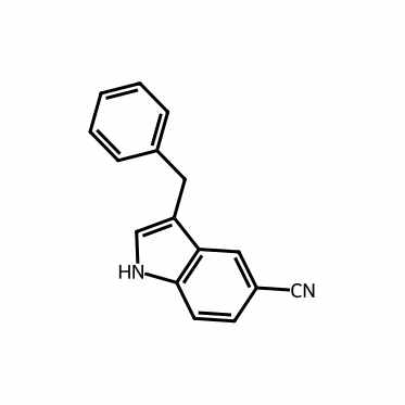 N#Cc1ccc2[nH]cc(Cc3ccccc3)c2c1